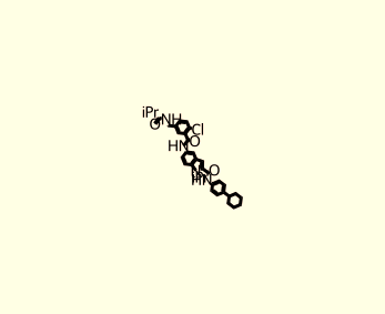 CC(C)C(=O)NCc1ccc(Cl)c(C(=O)Nc2ccc3c(c2)cc(C(=O)Nc2ccc(C4CCCCC4)cc2)n3C(C)C)c1